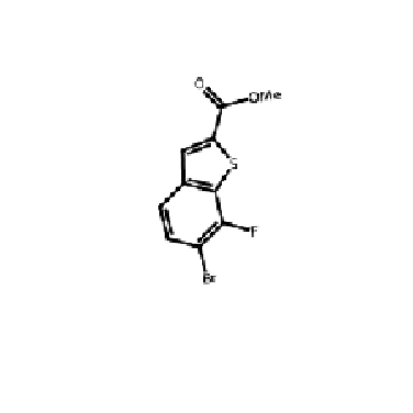 COC(=O)c1cc2ccc(Br)c(F)c2s1